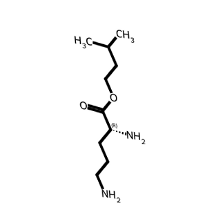 CC(C)CCOC(=O)[C@H](N)CCCN